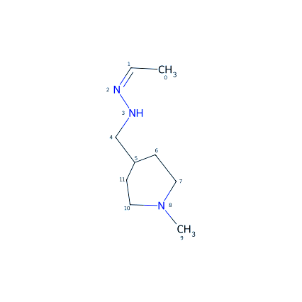 C/C=N\NCC1CCN(C)CC1